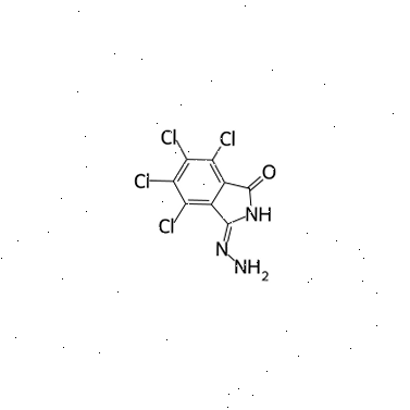 NN=C1NC(=O)c2c(Cl)c(Cl)c(Cl)c(Cl)c21